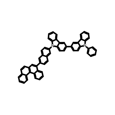 c1ccc(-n2c3ccccc3c3cc(-c4ccc5c(c4)c4ccccc4n5-c4ccc5cc(-c6cc7ccc8ccccc8c7c7ccccc67)ccc5c4)ccc32)cc1